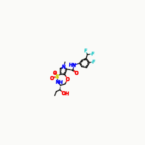 CCC(O)[C@H]1COc2c(cn(C)c2C(=O)Nc2ccc(F)c(C(F)F)c2)S(=O)(=O)N1